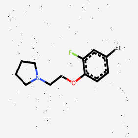 CCc1ccc(OCCN2CCCC2)c(F)c1